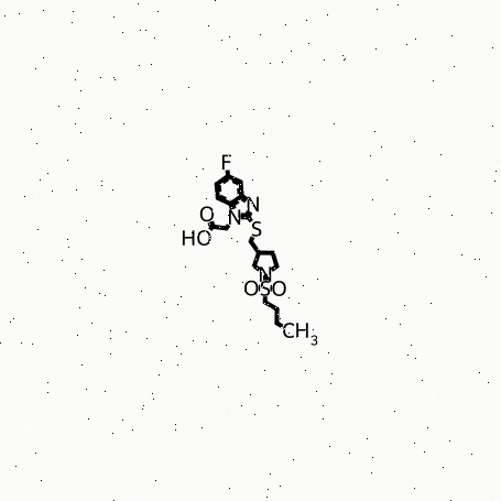 CCCCS(=O)(=O)N1CCC(CSc2nc3cc(F)ccc3n2CC(=O)O)C1